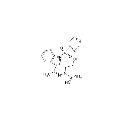 C/C(=N/N(CCO)C(=N)N)c1cn(S(=O)(=O)c2ccccc2)c2ccccc12